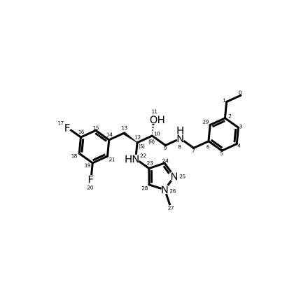 CCc1cccc(CNC[C@@H](O)[C@H](Cc2cc(F)cc(F)c2)Nc2cnn(C)c2)c1